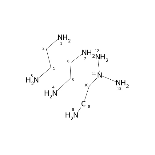 NCCN.NCCN.NCCN(N)N